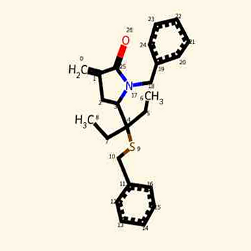 C=C1CC(C(CC)(CC)SCc2ccccc2)N(Cc2ccccc2)C1=O